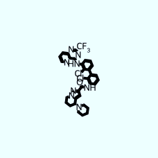 O=C(Nc1cccc(-c2cccc(Nc3nc(C(F)(F)F)nc4cccnc34)c2Cl)c1Cl)c1cc2n(n1)CCC[C@H]2N1CCCCC1